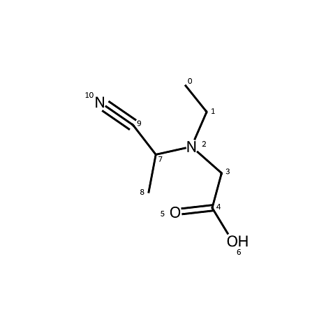 CCN(CC(=O)O)C(C)C#N